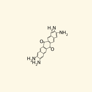 Nc1cc2cc3c(cc2cc1N)C(=O)c1cc2cc(N)c(N)cc2cc1C3=O